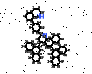 C1=Cc2cccc(-c3ccc(-c4cc(-c5cc6ccccc6c6ccccc56)c5cc(-c6cc7ccccc7c7ccccc67)c6ccccc6c5n4)cc3)c2NC1